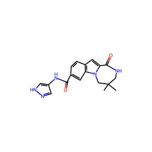 CC1(C)CNC(=O)c2cc3ccc(C(=O)Nc4cn[nH]c4)cc3n2C1